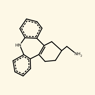 NCC1CCC2=C(C1)c1ccccc1Nc1ccccc12